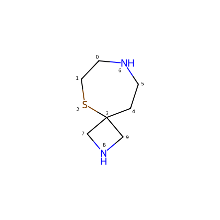 C1CSC2(CCN1)CNC2